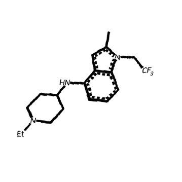 CCN1CCC(Nc2cccc3c2cc(C)n3CC(F)(F)F)CC1